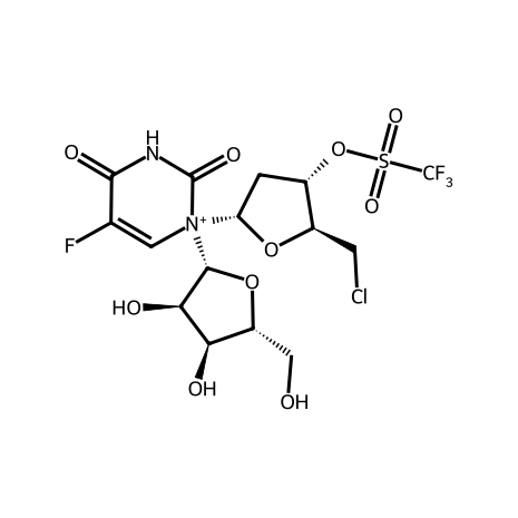 O=C1NC(=O)[N+]([C@@H]2C[C@H](OS(=O)(=O)C(F)(F)F)[C@@H](CCl)O2)([C@@H]2O[C@H](CO)[C@@H](O)[C@H]2O)C=C1F